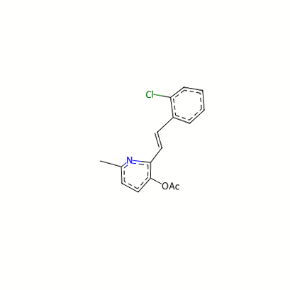 CC(=O)Oc1ccc(C)nc1C=Cc1ccccc1Cl